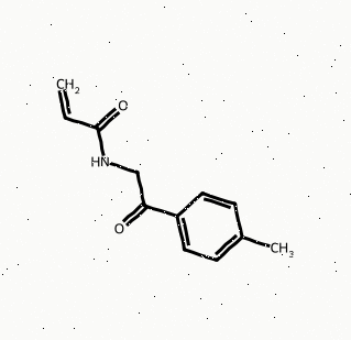 C=CC(=O)NCC(=O)c1ccc(C)cc1